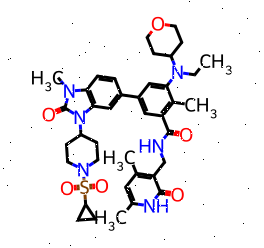 CCN(c1cc(-c2ccc3c(c2)n(C2CCN(S(=O)(=O)C4CC4)CC2)c(=O)n3C)cc(C(=O)NCc2c(C)cc(C)[nH]c2=O)c1C)C1CCOCC1